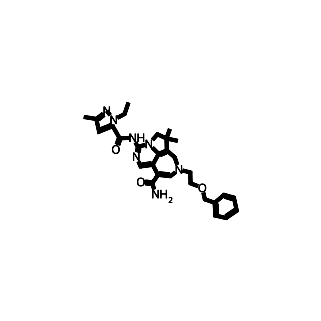 CCn1nc(C)cc1C(=O)NC1=NC=C2C(C(N)=O)=CN(CCOCc3ccccc3)CC3=C2N1CC3(C)C